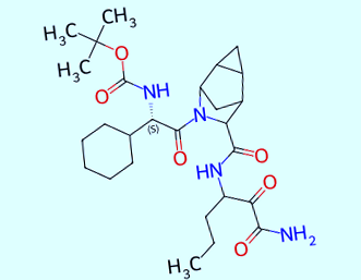 CCCC(NC(=O)C1C2CC(C3CC32)N1C(=O)[C@@H](NC(=O)OC(C)(C)C)C1CCCCC1)C(=O)C(N)=O